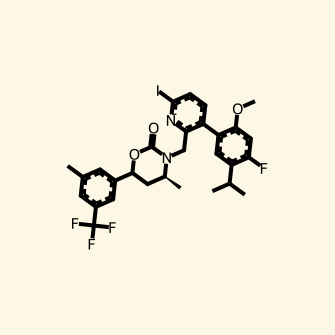 COc1cc(F)c(C(C)C)cc1-c1ccc(I)nc1CN1C(=O)OC(c2cc(C)cc(C(F)(F)F)c2)C[C@@H]1C